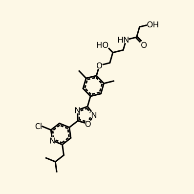 Cc1cc(-c2noc(-c3cc(Cl)nc(CC(C)C)c3)n2)cc(C)c1OCC(O)CNC(=O)CO